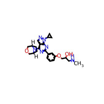 CNCC(O)COc1cccc(-c2nc(N3[C@@H]4CC[C@H]3COC4)c3cnn(C4CC4)c3n2)c1